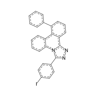 Ic1ccc(-c2nnc3c4cccc(-c5ccccc5)c4c4ccccc4n23)cc1